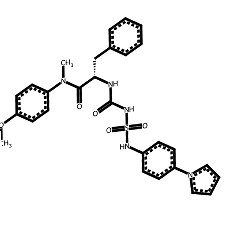 COc1ccc(N(C)C(=O)[C@H](Cc2ccccc2)NC(=O)NS(=O)(=O)Nc2ccc(-n3cccc3)cc2)cc1